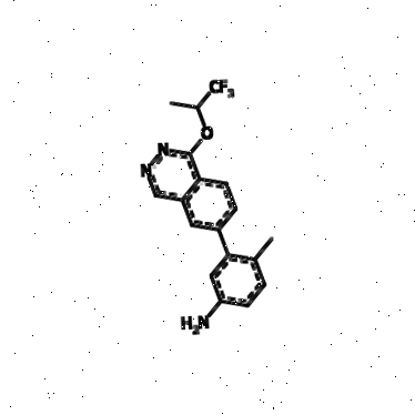 Cc1ccc(N)cc1-c1ccc2c(OC(C)C(F)(F)F)nncc2c1